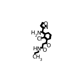 CCCNC(=O)CC(=O)C1=C(Cl)C(=C(N)c2ccon2)CC=C1